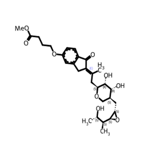 COC(=O)CCCOc1ccc2c(c1)C/C(=C(/C)C[C@@H]1OC[C@H](C[C@@H]3O[C@H]3[C@@H](C)[C@H](C)O)[C@@H](O)[C@H]1O)C2=O